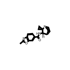 Cc1nc2ccc(C(=O)N[C@H]3C4CCN(CC4)C34CC4)cc2o1